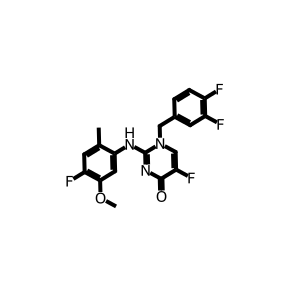 COc1cc(Nc2nc(=O)c(F)cn2Cc2ccc(F)c(F)c2)c(C)cc1F